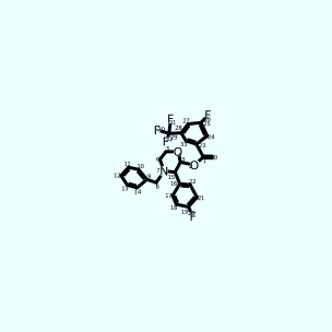 C=C(OC1OCCN(Cc2ccccc2)C1c1ccc(F)cc1)c1cc(F)cc(C(F)(F)F)c1